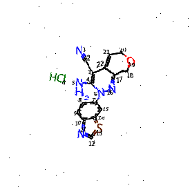 Cl.N#CC1=C(N)N(c2ccc3ncsc3c2)N=C2COCC=C21